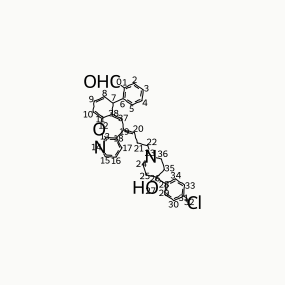 O=Cc1ccccc1C1C=CC=C2Oc3ncccc3C(=CCCN3CCC(O)(c4ccc(Cl)cc4)CC3)C=C21